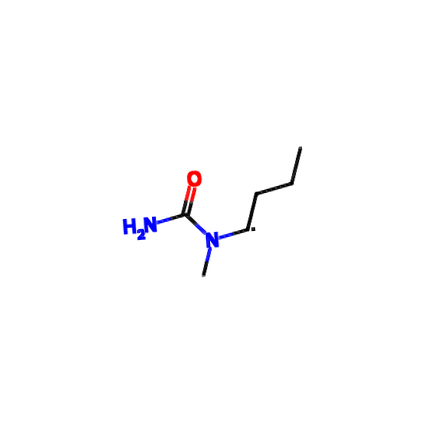 CCC[CH]N(C)C(N)=O